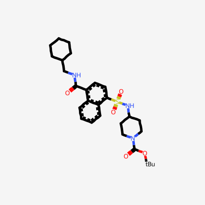 CC(C)(C)OC(=O)N1CCC(NS(=O)(=O)c2ccc(C(=O)NCC3CCCCC3)c3ccccc23)CC1